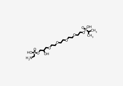 CC(C)P(=O)(O)OCCOCCOCCOCCOCC(O)COP(=O)(O)CN